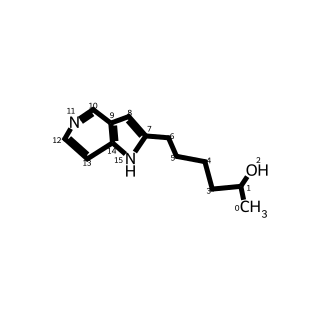 CC(O)CCCCc1cc2cnccc2[nH]1